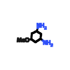 COC1C[C@@H](N)C[C@@H](N)C1